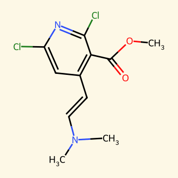 COC(=O)c1c(C=CN(C)C)cc(Cl)nc1Cl